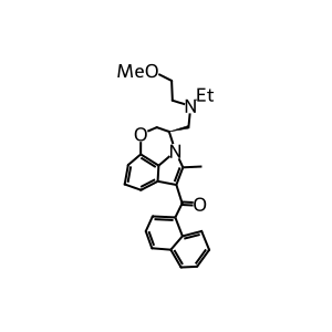 CCN(CCOC)C[C@@H]1COc2cccc3c(C(=O)c4cccc5ccccc45)c(C)n1c23